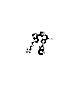 C[Si](C)(C)CCOCn1ccc2c(-c3cnn(C[C@@H](C#N)C4CCN(c5nc6cccnc6o5)C4)c3)ncnc21